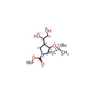 CC(C)(C)OC(=O)N1CC(O[Si](C)(C)C(C)(C)C)C([C@@H](O)CO)C1